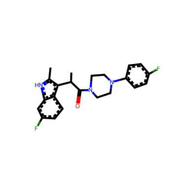 Cc1[nH]c2cc(F)ccc2c1C(C)C(=O)N1CCN(c2ccc(F)cc2)CC1